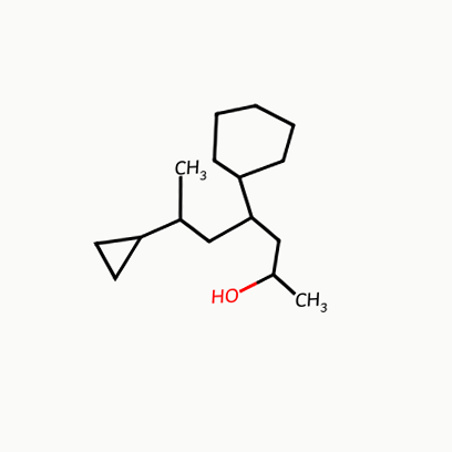 CC(O)CC(CC(C)C1CC1)C1CCCCC1